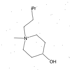 CC(C)CC[N+]1(C)CCC(O)CC1